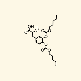 CCCCCOC(=O)Oc1ccc(C[C@H](N)C(=O)O)cc1OC(=O)OCCCCC